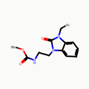 CC(=O)Cn1c(=O)n(CCNC(=O)OC(C)(C)C)c2ccccc21